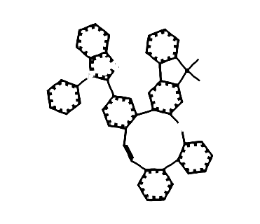 CC1(C)c2ccccc2-c2cc3c(cc21)Sc1ccccc1-c1ccccc1/C=C\c1ccc(-c2nc4ccccc4n2-c2ccccc2)cc1-3